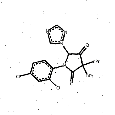 CCCC1(CCC)C(=O)C(n2cncn2)N(c2ccc(Cl)cc2Cl)C1=O